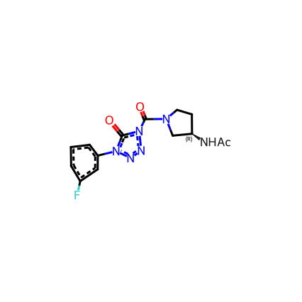 CC(=O)N[C@@H]1CCN(C(=O)n2nnn(-c3cccc(F)c3)c2=O)C1